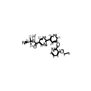 CCOc1cccnc1Oc1cncc(-c2ncc(C(=O)NC(C)(C)C#N)cn2)c1